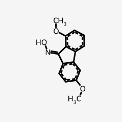 COc1ccc2c(c1)-c1cccc(OC)c1C2=NO